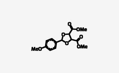 COC(=O)C1OC(c2ccc(OC)cc2)OC1C(=O)OC